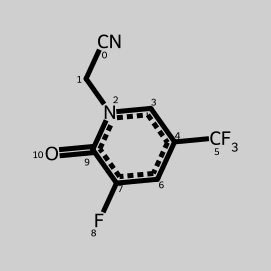 N#CCn1cc(C(F)(F)F)cc(F)c1=O